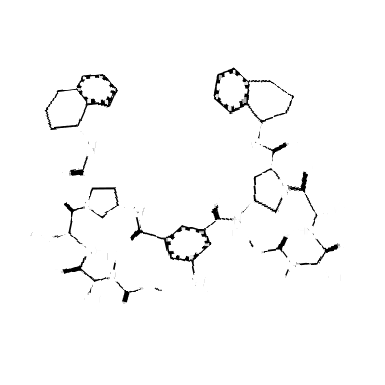 C[C@@H](C(=O)N[C@H](C(=O)N1C[C@@H](NC(=O)c2cc(N)cc(C(=O)N[C@H]3C[C@@H](C(=O)N[C@@H]4CCCc5ccccc54)N(C(=O)[C@@H](NC(=O)[C@H](C)N(C)C(=O)OC(C)(C)C)C(C)(C)C)C3)c2)C[C@H]1C(=O)N[C@@H]1CCCc2ccccc21)C(C)(C)C)N(C)C(=O)OC(C)(C)C